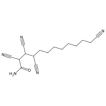 N#CCCCCCCCCC(C#N)C(C#N)C(C#N)C(N)=O